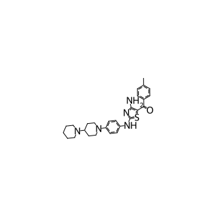 Cc1ccc(C(=O)c2sc(Nc3ccc(N4CCC(N5CCCCC5)CC4)cc3)nc2N)cc1